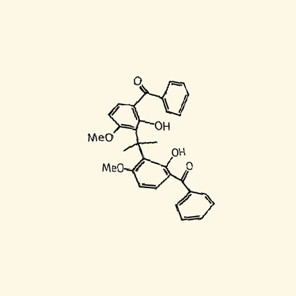 COc1ccc(C(=O)c2ccccc2)c(O)c1C(C)(C)c1c(OC)ccc(C(=O)c2ccccc2)c1O